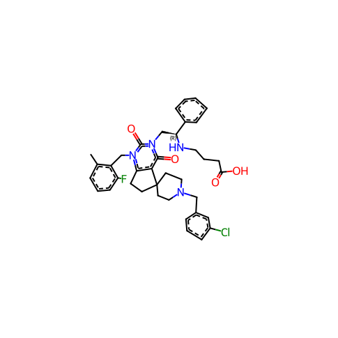 Cc1cccc(F)c1Cn1c2c(c(=O)n(C[C@H](NCCCC(=O)O)c3ccccc3)c1=O)C1(CC2)CCN(Cc2cccc(Cl)c2)CC1